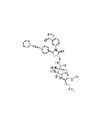 BC(B)(C(=O)NC[C@H]1S[C@@H](c2ccc(C#Cc3ccccc3)cc2)N(c2cccc(C(N)=O)c2)C1=O)C(B)(O)c1ccc(OC)c(OCC)c1